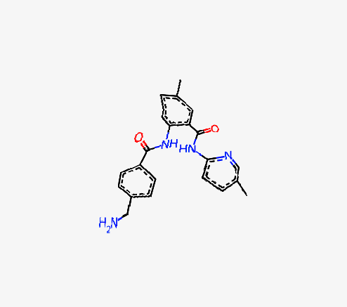 Cc1ccc(NC(=O)c2cc(C)ccc2NC(=O)c2ccc(CN)cc2)nc1